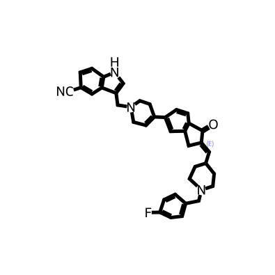 N#Cc1ccc2[nH]cc(CN3CC=C(c4ccc5c(c4)C/C(=C\C4CCN(Cc6ccc(F)cc6)CC4)C5=O)CC3)c2c1